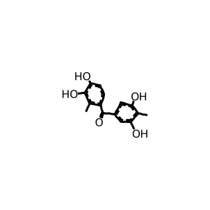 Cc1c(O)cc(C(=O)c2ccc(O)c(O)c2C)cc1O